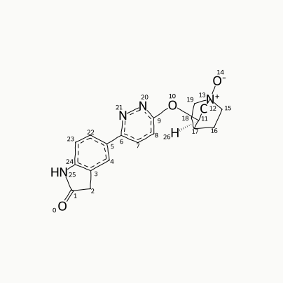 O=C1Cc2cc(-c3ccc(O[C@H]4C[N+]5([O-])CCC4CC5)nn3)ccc2N1